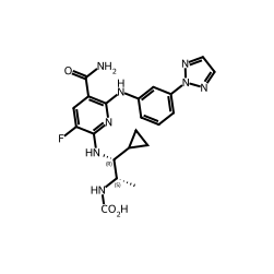 C[C@H](NC(=O)O)[C@H](Nc1nc(Nc2cccc(-n3nccn3)c2)c(C(N)=O)cc1F)C1CC1